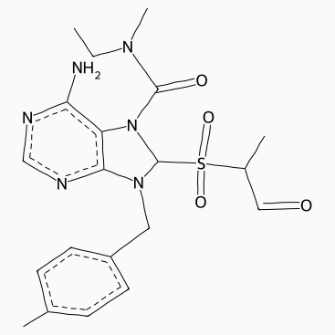 CCN(C)C(=O)N1c2c(N)ncnc2N(Cc2ccc(C)cc2)C1S(=O)(=O)C(C)C=O